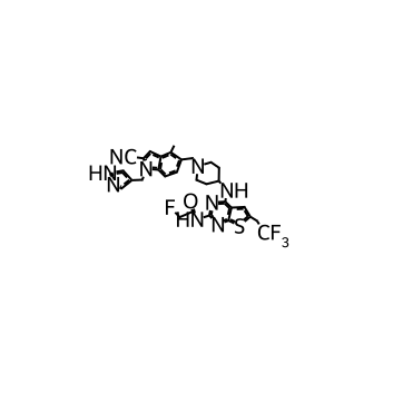 Cc1c(CN2CCC(Nc3nc(NC(=O)CF)nc4sc(CC(F)(F)F)cc34)CC2)ccc2c1cc(C#N)n2Cc1cn[nH]c1